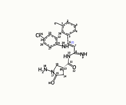 Cc1cccc(/C(=C/C(=N)NC(=O)[C@@H]2CC(=O)N(N)C2)Nc2ccc(Cl)cc2)c1